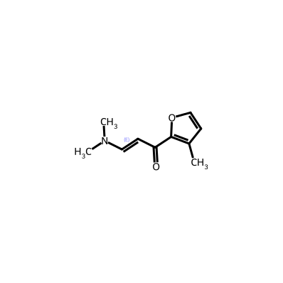 Cc1ccoc1C(=O)/C=C/N(C)C